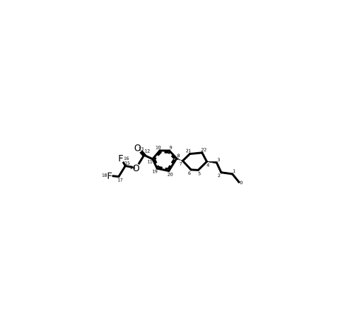 CCCC[C@H]1CC[C@H](c2ccc(C(=O)OC(F)CF)cc2)CC1